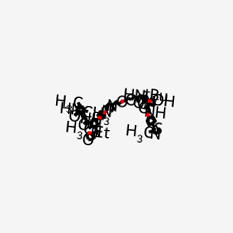 CCN(c1cc(-c2ccc(N3CCN(CCOCCOCC(=O)N[C@H](C(=O)N4C[C@H](O)C[C@H]4C(=O)NCc4ccc(-c5scnc5C)cc4)C(C)(C)C)CC3)cc2)cc(C(=O)NCc2c(C)cc(C)[nH]c2=O)c1C)C1CCOCC1